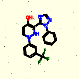 OC1=C(c2ncnn2-c2ccccc2)NN(c2cccc(C(F)(F)F)c2)C=C1